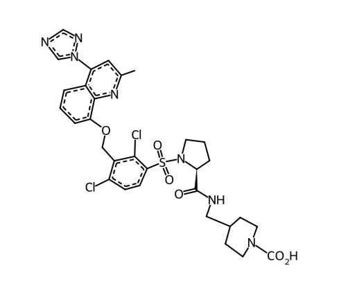 Cc1cc(-n2cncn2)c2cccc(OCc3c(Cl)ccc(S(=O)(=O)N4CCC[C@H]4C(=O)NCC4CCN(C(=O)O)CC4)c3Cl)c2n1